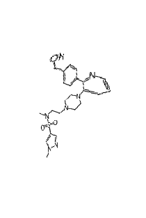 CN(CCN1CCN(c2cccnc2-c2ccc(CO)cc2)CC1)S(=O)(=O)c1cnn(C)c1